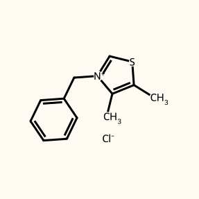 Cc1sc[n+](Cc2ccccc2)c1C.[Cl-]